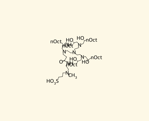 CCCCCCCCC(O)CN(CCC(=O)NCCN(C)CCCS(=O)(=O)O)CCN(CCN(CC(O)CCCCCCCC)CC(O)CCCCCCCC)CCN(CC(O)CCCCCCCC)CC(O)CCCCCCCC